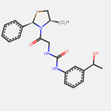 CC(O)c1cccc(NC(=O)NCC(=O)N2[C@@H](c3ccccc3)SC[C@H]2C(=O)O)c1